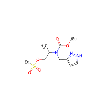 CCS(=O)(=O)OCC(C)N(Cc1cc[nH]n1)C(=O)OC(C)(C)C